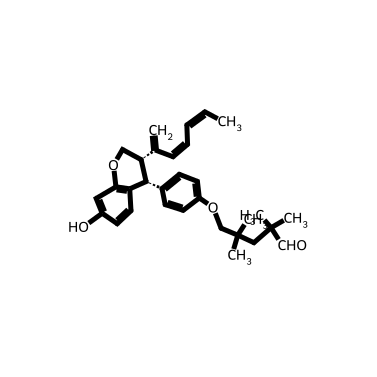 C=C(/C=C\C=C/C)[C@H]1COc2cc(O)ccc2[C@H]1c1ccc(OCC(C)(C)CC(C)(C)C=O)cc1